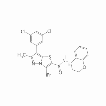 Cc1nn2c(C(C)C)c(C(=O)N[C@H]3CCOc4ccccc43)sc2c1-c1cc(Cl)cc(Cl)c1